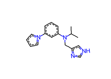 CC(C)N(Cc1c[nH]cn1)c1cccc(-n2cccc2)c1